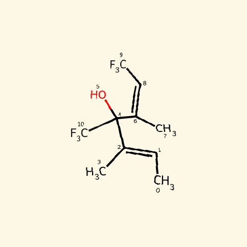 CC=C(C)C(O)(/C(C)=C\C(F)(F)F)C(F)(F)F